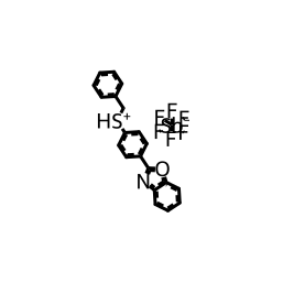 [F][Sb-]([F])([F])([F])([F])[F].c1ccc(C[SH+]c2ccc(-c3nc4ccccc4o3)cc2)cc1